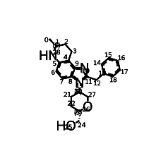 C[C@H]1CCc2c(ccc3c2nc(Cc2ccccc2)n3[C@@H]2CC[C@@H](CO)OC2)N1